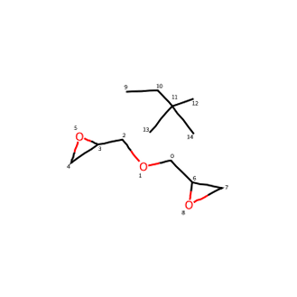 C(OCC1CO1)C1CO1.CCC(C)(C)C